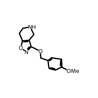 COc1ccc(COc2noc3c2CNCC3)cc1